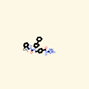 Cc1ccccc1CNC(=O)N(Cc1ccc(C(=O)Nc2nn[nH]n2)cc1)c1ccc(C2=CCCCC2)cc1